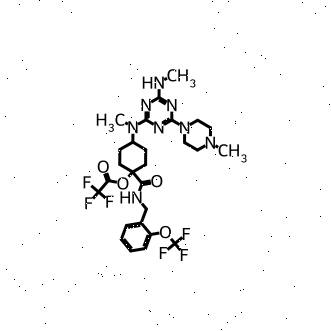 CNc1nc(N2CCN(C)CC2)nc(N(C)C2CCC(OC(=O)C(F)(F)F)(C(=O)NCc3ccccc3OC(F)(F)F)CC2)n1